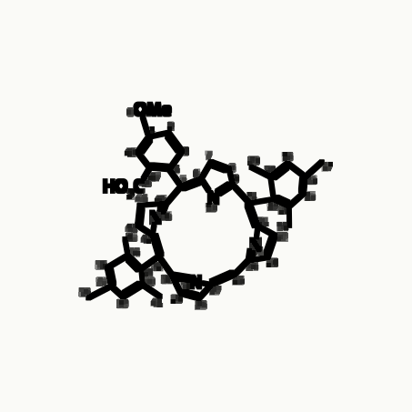 COc1ccc(C2=C3C=CC(=N3)C(c3c(C)cc(C)cc3C)=C3C=CC(=N3)C=C3C=CC(=N3)C(c3c(C)cc(C)cc3C)=C3C=CC2=N3)c(C(=O)O)c1